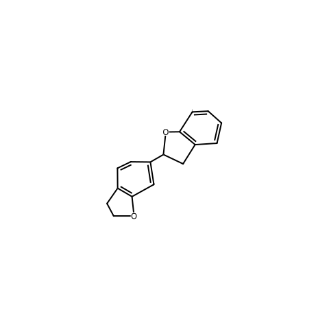 [c]1cccc2c1OC(c1ccc3c(c1)OCC3)C2